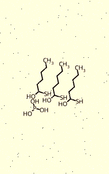 CCCCCC(O)S.CCCCCC(O)S.CCCCCC(O)S.OP(O)O